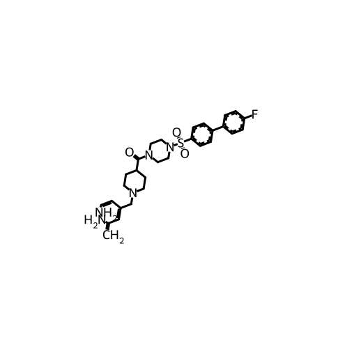 C=C(N)/C=C(\C=C/N)CN1CCC(C(=O)N2CCN(S(=O)(=O)c3ccc(-c4ccc(F)cc4)cc3)CC2)CC1